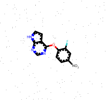 O=[N+]([O-])c1ccc(Oc2ncnc3[nH]ccc23)c(F)c1